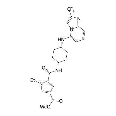 CCn1cc(C(=O)OC)cc1C(=O)N[C@H]1CC[C@@H](Nc2cccc3nc(C(F)(F)F)cn23)CC1